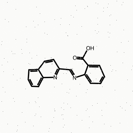 O=C(O)c1ccccc1N=Cc1ccc2ccccc2n1